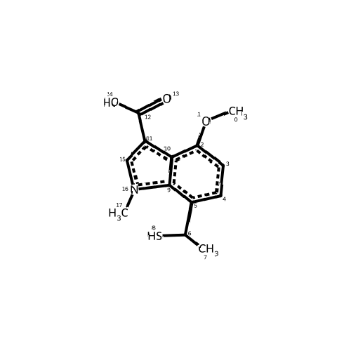 COc1ccc(C(C)S)c2c1c(C(=O)O)cn2C